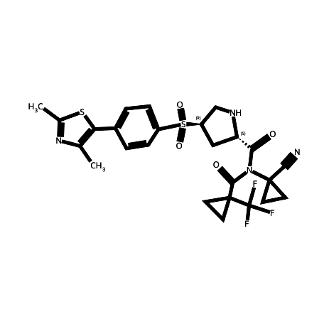 Cc1nc(C)c(-c2ccc(S(=O)(=O)[C@H]3CN[C@H](C(=O)N(C(=O)C4(C(F)(F)F)CC4)C4(C#N)CC4)C3)cc2)s1